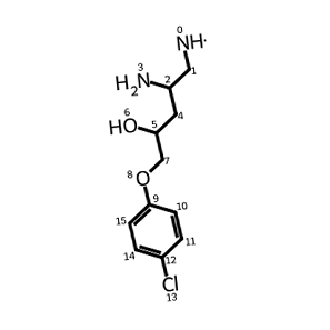 [NH]CC(N)CC(O)COc1ccc(Cl)cc1